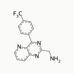 NCc1nc(-c2ccc(C(F)(F)F)cc2)c2ncccc2n1